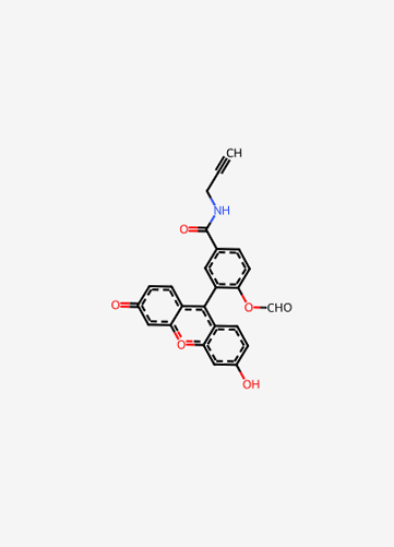 C#CCNC(=O)c1ccc(OC=O)c(-c2c3ccc(=O)cc-3oc3cc(O)ccc23)c1